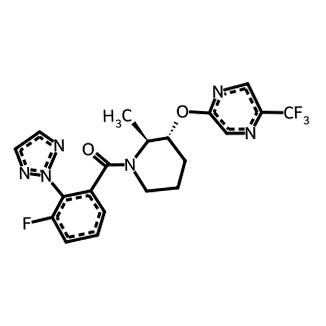 C[C@H]1[C@H](Oc2cnc(C(F)(F)F)cn2)CCCN1C(=O)c1cccc(F)c1-n1nccn1